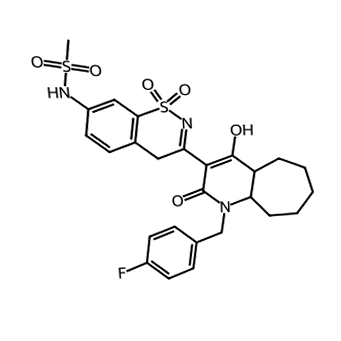 CS(=O)(=O)Nc1ccc2c(c1)S(=O)(=O)N=C(C1=C(O)C3CCCCCC3N(Cc3ccc(F)cc3)C1=O)C2